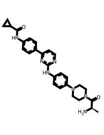 C[C@@H](N)C(=O)N1CCN(c2ccc(Nc3nccc(-c4ccc(NC(=O)C5CC5)cc4)n3)cc2)CC1